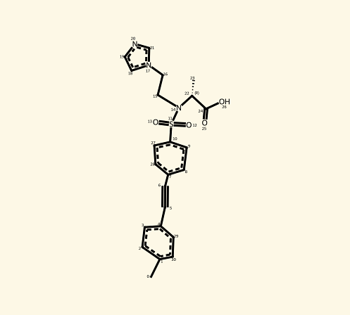 Cc1ccc(C#Cc2ccc(S(=O)(=O)N(CCn3ccnc3)[C@H](C)C(=O)O)cc2)cc1